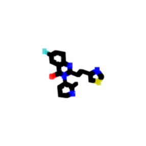 Cc1ncccc1-n1c(C=Cc2cscn2)nc2ccc(F)cc2c1=O